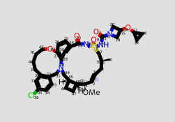 CO[C@H]1/C=C/C[C@H](C)CS(=O)(NC(=O)N2CC(OC3CC3)C2)=NC(=O)c2ccc3c(c2)N(Cc2ccc(Cl)cc2CCCCO3)C[C@@H]2CC[C@H]21